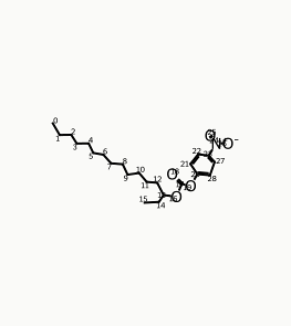 CCCCCCCCCCCCCC(CC)OC(=O)Oc1ccc([N+](=O)[O-])cc1